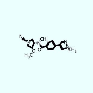 CO[C@@H]1CN(C#N)C[C@H]1N(C)C(=O)c1ccc(-c2cnn(C)c2)cc1